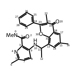 CNC(=O)c1nc(C)ccc1NC(C)c1cc(C)cc2c(=O)c(C)c(-c3ccccc3)oc12